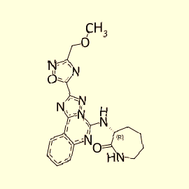 COCc1noc(-c2nc3c4ccccc4nc(N[C@@H]4CCCCNC4=O)n3n2)n1